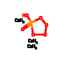 O=P1(O)OOOO1.[CaH2].[CaH2].[CaH2]